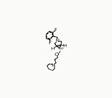 Fc1cccc(F)c1CN1C[C@@H]2[C@H](COCCCN3CCCCC3)[C@@H]2C1